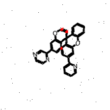 c1ccc(-c2ccc3c(c2)Oc2ccccc2C32c3ccccc3Oc3cc(-c4cnccn4)ccc32)nc1